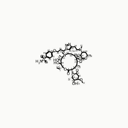 CC[C@H]1OC(=O)[C@H](C)[C@@H](O[C@H]2C[C@@](C)(OC)[C@@H](O)[C@H](C)O2)[C@H](C)[C@@H](O[C@@H]2O[C@H](C)C[C@H](N(C)CCc3cn(CCCOc4ccc(S(N)(=O)=O)cc4)nn3)[C@H]2O)[C@](C)(O)C[C@@H](C)CN(C)[C@H](C)[C@@H](O)[C@]1(C)O